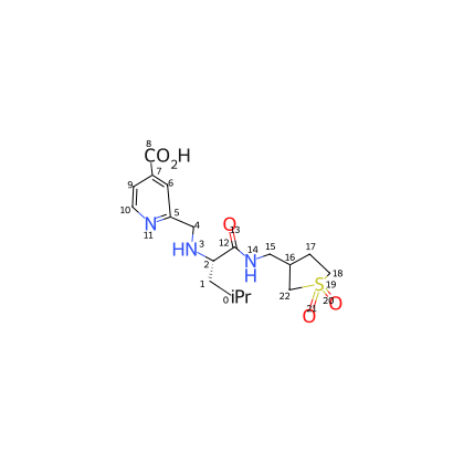 CC(C)C[C@H](NCc1cc(C(=O)O)ccn1)C(=O)NCC1CCS(=O)(=O)C1